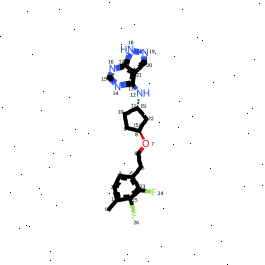 Cc1ccc(CCO[C@H]2CC[C@H](Nc3ncnc4[nH]ncc34)C2)c(F)c1F